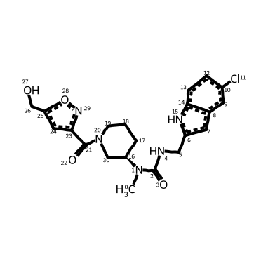 CN(C(=O)NCc1cc2cc(Cl)ccc2[nH]1)[C@@H]1CCCN(C(=O)c2cc(CO)on2)C1